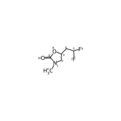 CN1CC(CC(F)F)OC1=O